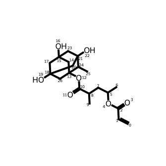 C=CC(=O)OC(C)CC(C)C(=O)OC12CC3(O)CC(O)(CC(O)(C3)C1C)C2